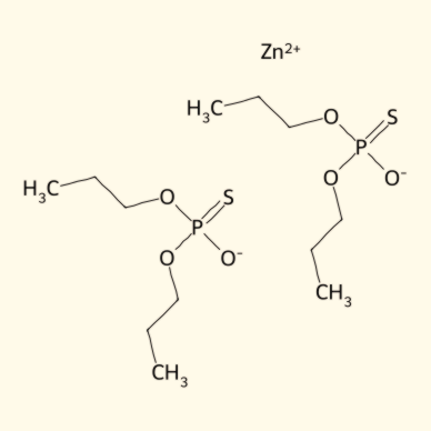 CCCOP([O-])(=S)OCCC.CCCOP([O-])(=S)OCCC.[Zn+2]